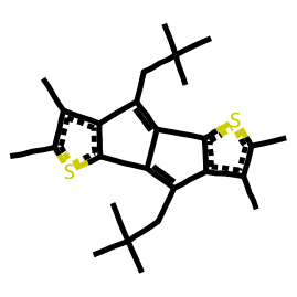 Cc1sc2c(c1C)C(CC(C)(C)C)=C1C2=C(CC(C)(C)C)c2c1sc(C)c2C